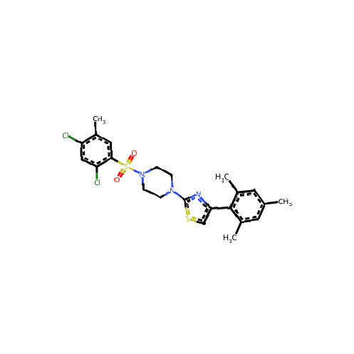 Cc1cc(C)c(-c2csc(N3CCN(S(=O)(=O)c4cc(C)c(Cl)cc4Cl)CC3)n2)c(C)c1